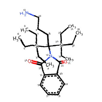 CC[Si](CC)(CC)C(CCCN)(N1C(=O)c2ccccc2C1=O)[Si](CC)(CC)CC